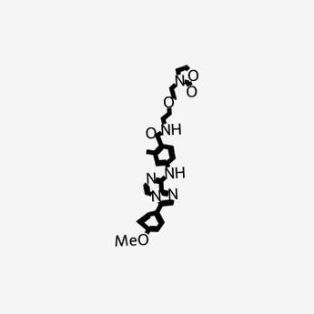 COc1ccc(-c2cnc3c(Nc4ccc(C(=O)NCCOCCN5CCOC5=O)c(C)c4)nccn23)cc1